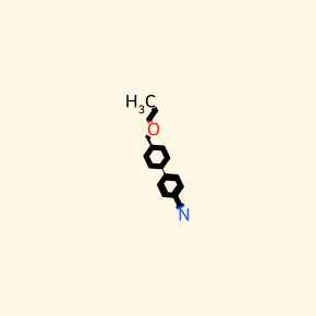 CCCOC[C@H]1CC[C@H](c2ccc(C#N)cc2)CC1